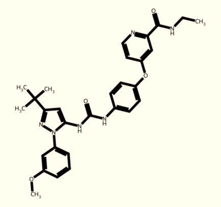 CCNC(=O)c1cc(Oc2ccc(NC(=O)Nc3cc(C(C)(C)C)nn3-c3cccc(OC)c3)cc2)ccn1